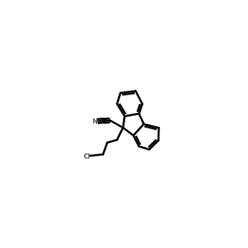 N#CC1(CCCCl)c2ccccc2-c2ccccc21